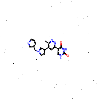 Cc1nnc(-c2c[nH]c(=O)[nH]c2=O)cc1-c1ccn(Cc2cccnc2)c1